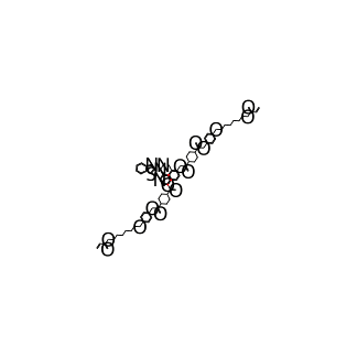 C=CC(=O)OCCCCCCOc1ccc(OC(=O)C2CCC(C(=O)Oc3ccc(OC(=O)C4CCC(C(=O)Oc5ccc(OCCCCCCOC(=O)C=C)cc5)CC4)c(/C=N\N(c4ccccn4)c4nc5ccccc5s4)c3)CC2)cc1